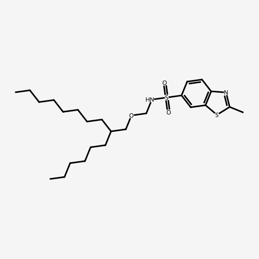 CCCCCCCCC(CCCCCC)COCNS(=O)(=O)c1ccc2nc(C)sc2c1